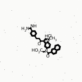 Cl.Cn1cc(C(=O)CCc2ccc(C(=N)N)cc2)c2cc(N(CC(=O)O)C(=O)c3ccc4ccccc4c3)ccc21